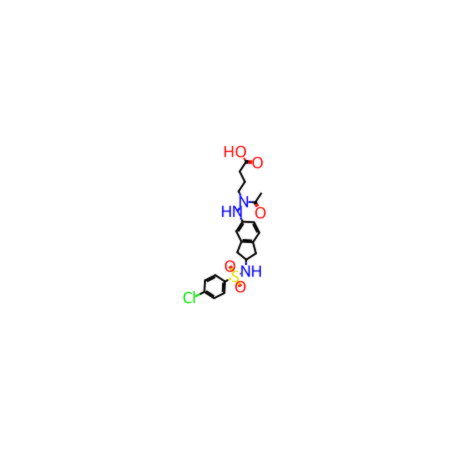 CC(=O)N(CCCC(=O)O)Nc1ccc2c(c1)CC(NS(=O)(=O)c1ccc(Cl)cc1)C2